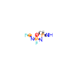 N=PN=P(F)(/N=P/F)OC(F)(F)F